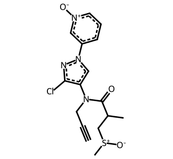 C#CCN(C(=O)C(C)C[S+](C)[O-])c1cn(-c2ccc[n+]([O-])c2)nc1Cl